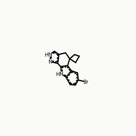 Brc1ccc2[nH]c3c(c2c1)C1(CCC1)Cc1c[nH]nc1-3